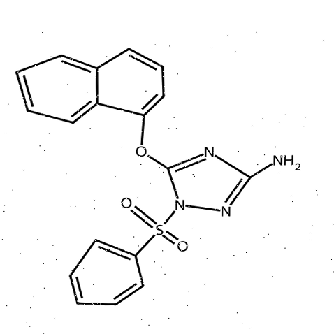 Nc1nc(Oc2cccc3ccccc23)n(S(=O)(=O)c2ccccc2)n1